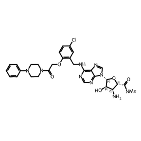 CNC(=O)[C@H]1O[C@@H](n2cnc3c(NCc4cc(Cl)ccc4OCC(=O)N4CCN(c5ccccc5)CC4)ncnc32)[C@H](O)[C@@H]1N